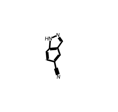 N#Cc1[c]cc2[nH]ncc2c1